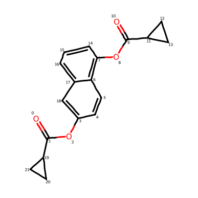 O=C(Oc1ccc2c(OC(=O)C3CC3)cccc2c1)C1CC1